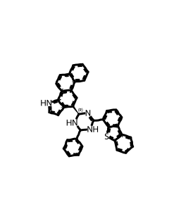 c1ccc(C2NC(c3cccc4c3sc3ccccc34)=N[C@H](c3cc4c5ccccc5ccc4c4[nH]ccc34)N2)cc1